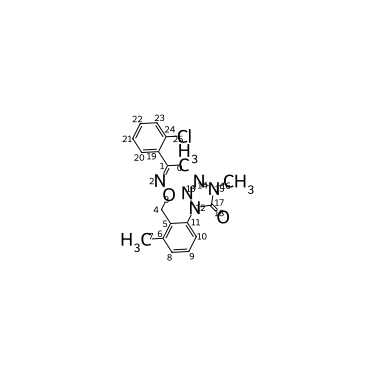 CC(=NOCc1c(C)cccc1-n1nnn(C)c1=O)c1ccccc1Cl